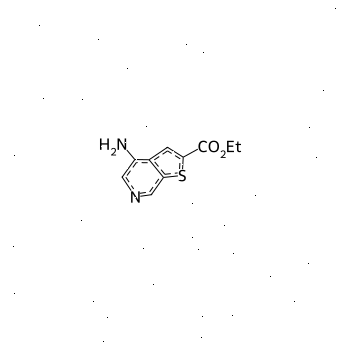 CCOC(=O)c1cc2c(N)cncc2s1